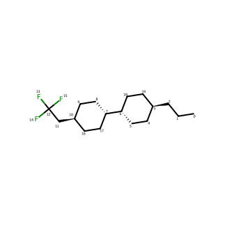 CCC[C@H]1CC[C@H]([C@H]2CC[C@H](CC(F)(F)F)CC2)CC1